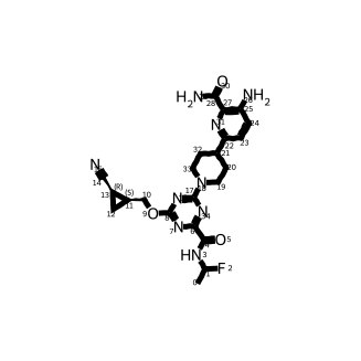 CC(F)NC(=O)c1nc(OC[C@H]2C[C@H]2C#N)nc(N2CCC(c3ccc(N)c(C(N)=O)n3)CC2)n1